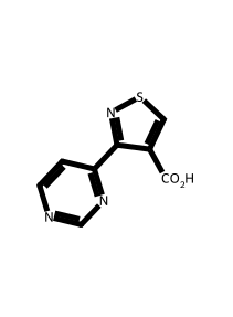 O=C(O)c1csnc1-c1ccncn1